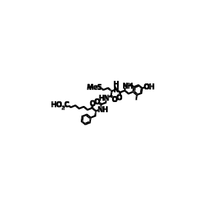 CSCC[C@@H](NC(=O)[C@@H](N)Cc1c(C)cc(O)cc1C)C(=O)NCC(=O)N[C@@H](Cc1ccccc1)C(=O)CCCCCC(=O)O